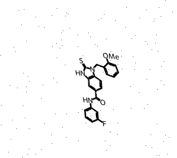 COc1ccccc1Cn1c(=S)[nH]c2cc(C(=O)Nc3cccc(F)c3)ccc21